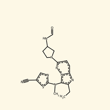 CCc1nc2ccc(N3CCC(NC=O)C3)nn2c1N(C)c1ncc(C#N)s1